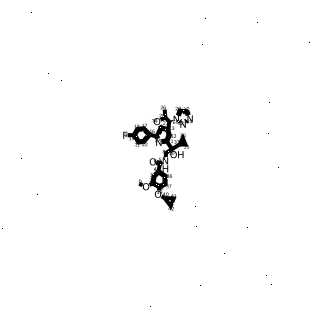 COc1cc(C(=O)NCC(O)(c2cc3c(c(-c4ccc(F)cc4)n2)OC(C)[C@@H]3n2ccnn2)C2CC2)ccc1OC1CC1